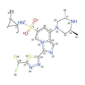 CCC1CC1(C)NS(=O)(=O)c1cc(N2C[C@H](C)N[C@@H](C)C2)c2cnc(-c3nnc(C(F)F)s3)n2c1